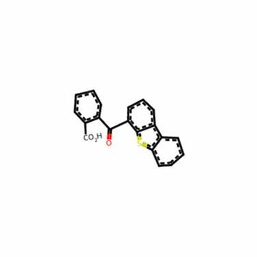 O=C(O)c1ccccc1C(=O)c1cccc2c1sc1ccccc12